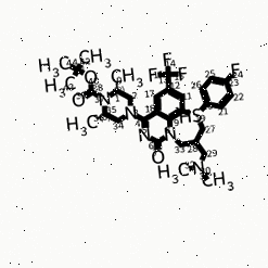 C[C@@H]1CN(c2nc(=O)n3c4c(cc(C(F)(F)F)cc24)[SH](c2ccc(F)cc2)CC(CN(C)C)C3)C[C@H](C)N1C(=O)OC(C)(C)C